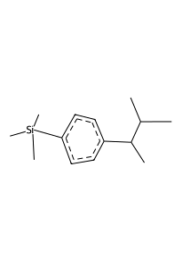 CC(C)C(C)c1ccc([Si](C)(C)C)cc1